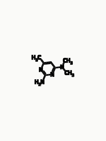 Cc1cc(N(C)C)nc(N)n1